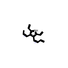 C=C/C=C\c1c(C=C)[nH]c(C=C)c1/C=C\C